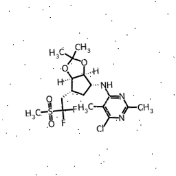 Cc1nc(Cl)c(C)c(N[C@@H]2C[C@H](CC(F)(F)S(C)(=O)=O)[C@H]3OC(C)(C)O[C@H]32)n1